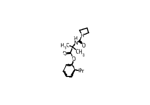 CC(C)c1ccccc1OC(=O)C(C)(C)NC(=O)N1CCC1